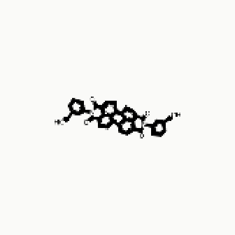 C#Cc1cccc(N2C(=O)c3ccc4c5ccc6c7c(ccc(c8ccc(c3c48)C2=O)c75)C(=O)N(c2cccc(C#C)c2)C6=O)c1